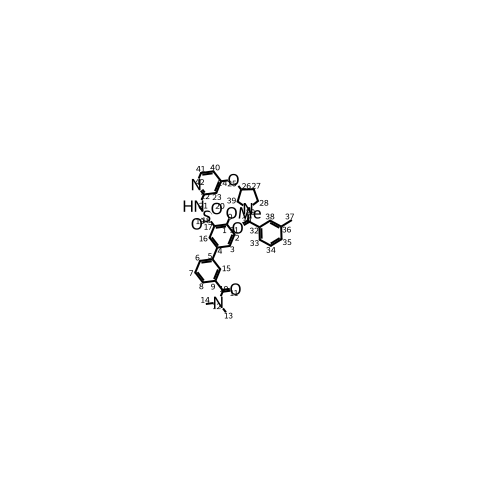 COc1ccc(-c2cccc(C(=O)N(C)C)c2)cc1S(=O)(=O)Nc1cc(OC2CCN(C(=O)c3cccc(C)c3)C2)ccn1